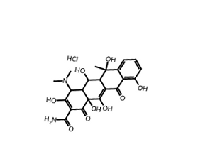 CN(C)C1C(O)=C(C(N)=O)C(=O)C2(O)C(O)=C3C(=O)c4c(O)cccc4C(C)(O)C3C(O)C12.Cl